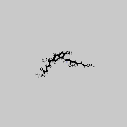 CCCCCC(O)/C=C/[C@@H]1C2CC(C(C)CCCC(=O)OC)=CC2C[C@H]1O